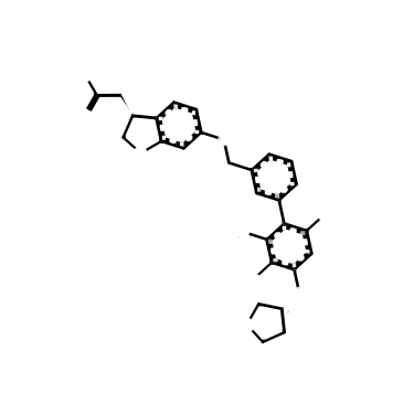 Cc1cc(O[C@@H]2CCOC2)c(F)c(C)c1-c1cccc(COc2ccc3c(c2)OC[C@H]3CC(=O)O)c1